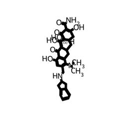 CN(C)c1c(CNC2Cc3ccccc3C2)cc(O)c2c1CC1C[C@H]3CC(O)=C(C(N)=O)C(=O)[C@@]3(O)C(O)=C1C2=O